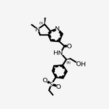 CCS(=O)(=O)c1ccc([C@H](CO)NC(=O)c2cnc3c(c2)CN(C)[C@H]3C)cc1